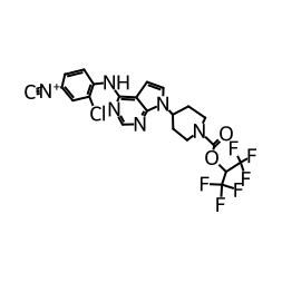 [C-]#[N+]c1ccc(Nc2ncnc3c2ccn3C2CCN(C(=O)OC(C(F)(F)F)C(F)(F)F)CC2)c(Cl)c1